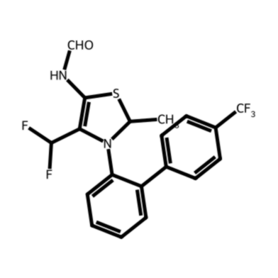 CC1SC(NC=O)=C(C(F)F)N1c1ccccc1-c1ccc(C(F)(F)F)cc1